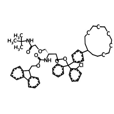 CC(C)(C)NC(=O)COC[C@H](CC(=O)OC(c1ccccc1)(c1ccc(C2CCCCCCCCCCCCC2)cc1)c1ccccc1Cl)NC(=O)OCC1c2ccccc2-c2ccccc21